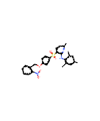 Cc1cc(C)c(Nc2nc(C)ccc2S(=O)(=O)c2ccc(OCc3ccccc3[N+](=O)[O-])cc2)c(C)c1